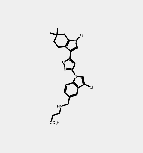 CCn1cc(-c2nc(-n3cc(Cl)c4cc(CNCCC(=O)O)ccc43)no2)c2c1CC(C)(C)CC2